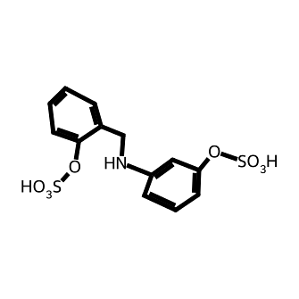 O=S(=O)(O)Oc1cccc(NCc2ccccc2OS(=O)(=O)O)c1